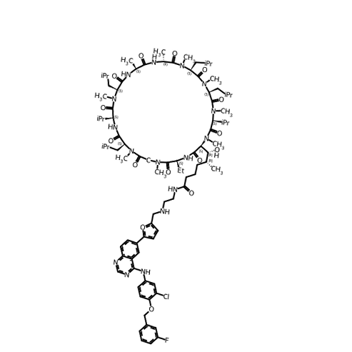 CC[C@@H]1NC(=O)[C@H]([C@H](O)[C@H](C)CCCC(=O)NCCNCc2ccc(-c3ccc4ncnc(Nc5ccc(OCc6cccc(F)c6)c(Cl)c5)c4c3)o2)N(C)C(=O)[C@H](C(C)C)N(C)C(=O)[C@H](CC(C)C)N(C)C(=O)[C@H](CC(C)C)N(C)C(=O)[C@@H](C)NC(=O)[C@H](C)NC(=O)[C@H](CC(C)C)N(C)C(=O)[C@H](C(C)C)NC(=O)[C@H](CC(C)C)N(C)C(=O)CN(C)C1=O